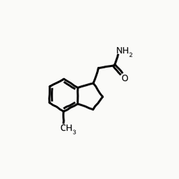 Cc1cccc2c1CCC2CC(N)=O